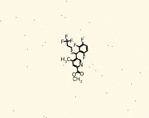 COC(=O)c1cc(C)c(C(SCCC(F)(F)F)c2c(F)ccc(F)c2F)cn1